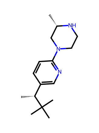 C[C@H](c1ccc(N2CCN[C@@H](C)C2)nc1)C(C)(C)C